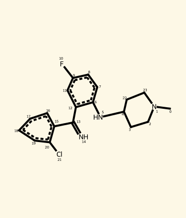 CN1CCC(Nc2ccc(F)cc2C(=N)c2ccccc2Cl)CC1